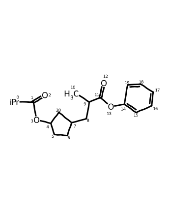 CC(C)C(=O)OC1CCC(CC(C)C(=O)Oc2ccccc2)C1